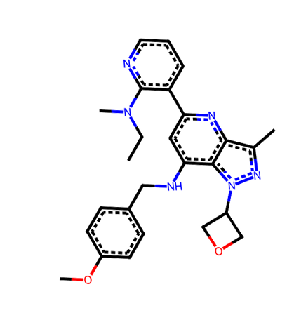 CCN(C)c1ncccc1-c1cc(NCc2ccc(OC)cc2)c2c(n1)c(C)nn2C1COC1